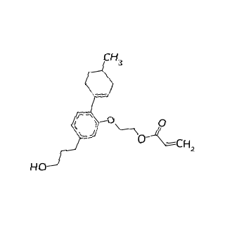 C=CC(=O)OCCOc1cc(CCCO)ccc1C1=CCC(C)CC1